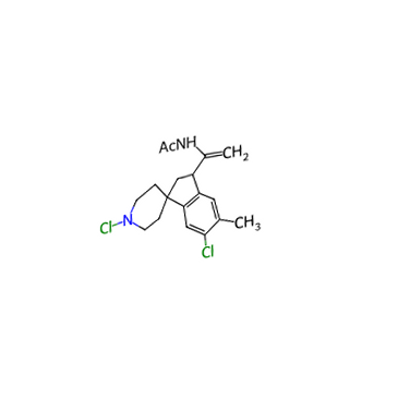 C=C(NC(C)=O)C1CC2(CCN(Cl)CC2)c2cc(Cl)c(C)cc21